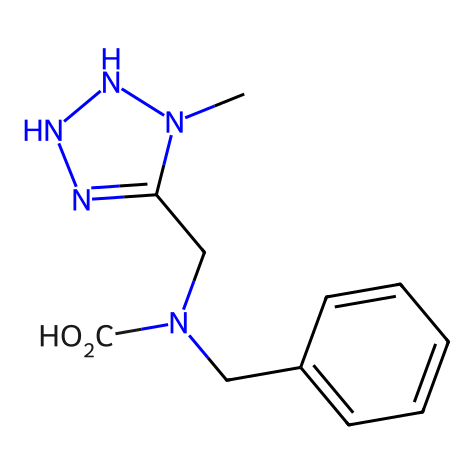 CN1NNN=C1CN(Cc1ccccc1)C(=O)O